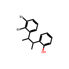 CCc1cccc(C(C)C(C)c2ccccc2O)c1CC